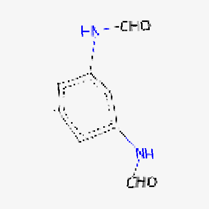 O=CNc1c[c]cc(NC=O)c1